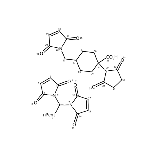 CCCCCC(N1C(=O)C=CC1=O)N1C(=O)C=CC1=O.O=C1C=CC(=O)N1CC1CCC(C(=O)O)(N2C(=O)CCC2=O)CC1